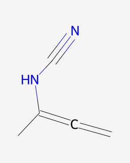 C=C=C(C)NC#N